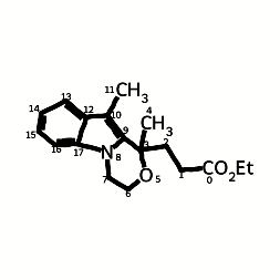 CCOC(=O)CCC1(C)OCCn2c1c(C)c1ccccc12